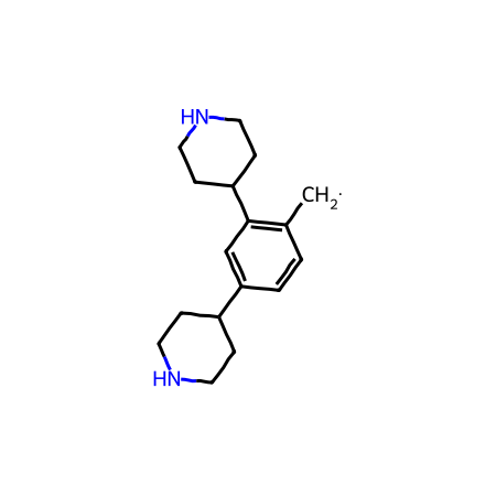 [CH2]c1ccc(C2CCNCC2)cc1C1CCNCC1